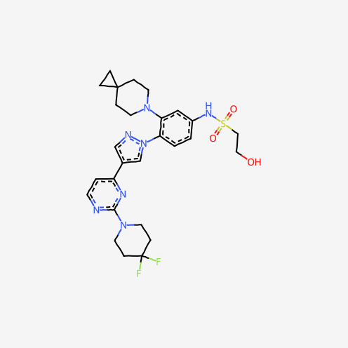 O=S(=O)(CCO)Nc1ccc(-n2cc(-c3ccnc(N4CCC(F)(F)CC4)n3)cn2)c(N2CCC3(CC2)CC3)c1